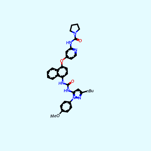 CCCCc1cc(NC(=O)Nc2ccc(Oc3ccnc(NC(=O)N4CCCC4)c3)c3ccccc23)n(-c2ccc(OC)cc2)n1